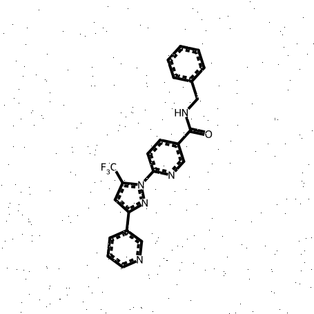 O=C(NCc1ccccc1)c1ccc(-n2nc(-c3cccnc3)cc2C(F)(F)F)nc1